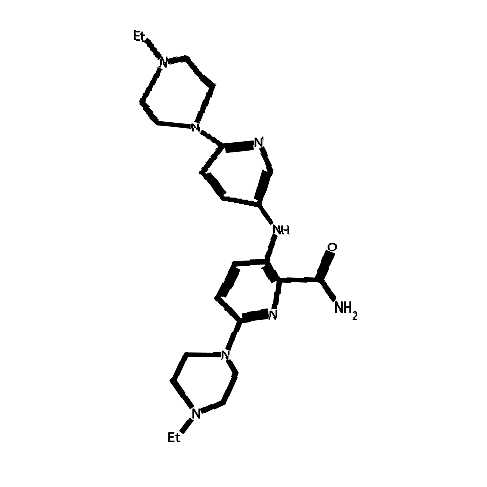 CCN1CCN(c2ccc(Nc3ccc(N4CCN(CC)CC4)nc3C(N)=O)cn2)CC1